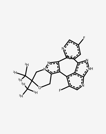 [2H]C([2H])([2H])C1(C([2H])([2H])[2H])Cn2nc(-c3ccc(F)cn3)c(-c3c(F)cnc4[nH]nc(C)c34)c2CO1